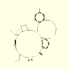 CC[C@@H]1CS(=O)(=O)NC(=O)c2ccc3c(c2)N(Cc2ccc(Cl)cc2CCCCO3)C[C@@H]2CC[C@H]2[C@@H](OC)C2=CC1N2